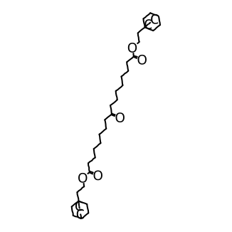 O=C(CCCCCCCC(=O)OCCC12CCC(CC1)CC2)CCCCCCCC(=O)OCCC12CCC(CC1)CC2